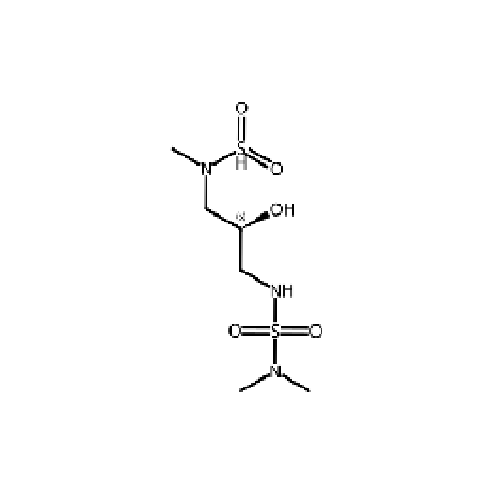 CN(C[C@@H](O)CNS(=O)(=O)N(C)C)[SH](=O)=O